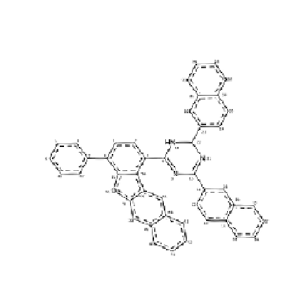 c1ccc(-c2ccc(C3=NC(c4ccc5ccccc5c4)=NC(c4ccc5ccccc5c4)N3)c3c2oc2cc4ccccc4cc23)cc1